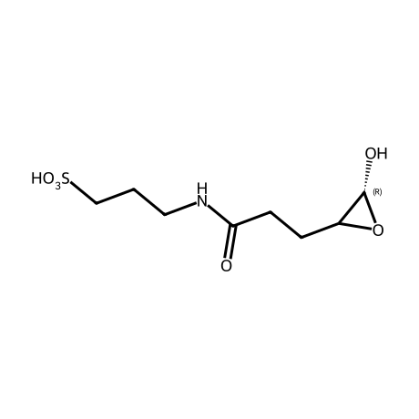 O=C(CCC1O[C@H]1O)NCCCS(=O)(=O)O